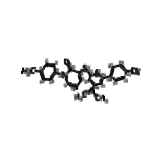 Cc1ccc(-n2cnc3c(sc4nc(-c5ccc(C#N)cc5)cc(N(C)C)c43)c2=O)cc1